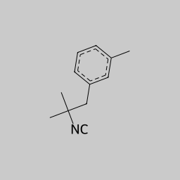 [C-]#[N+]C(C)(C)Cc1cccc(C)c1